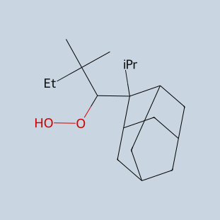 CCC(C)(C)C(OO)C1(C(C)C)C2CC3CC(C2)CC1C3